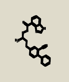 CC(CCc1ccc(-c2ccccc2)c(C#N)c1)OOC(=O)c1cccc2[nH]cnc12